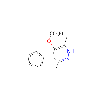 CCOC(=O)OC1=C(C)NN=C(C)C1c1ccccc1